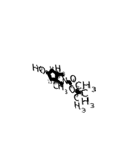 CC(C)(C)OC(=O)N1C[C@H]2C[C@@H](O)C[C@@]2(C)C1